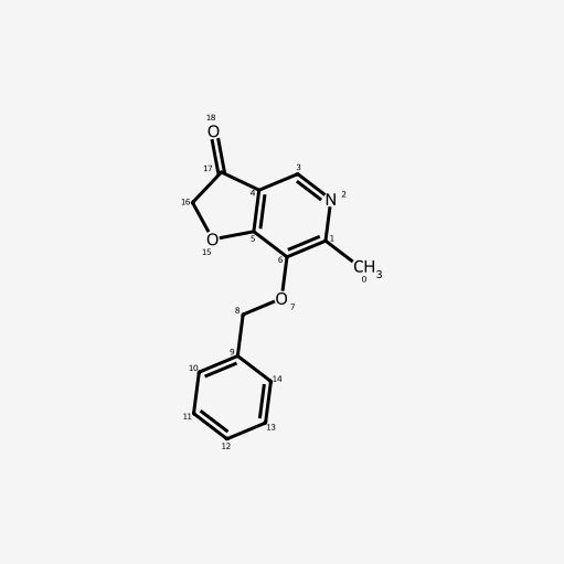 Cc1ncc2c(c1OCc1ccccc1)OCC2=O